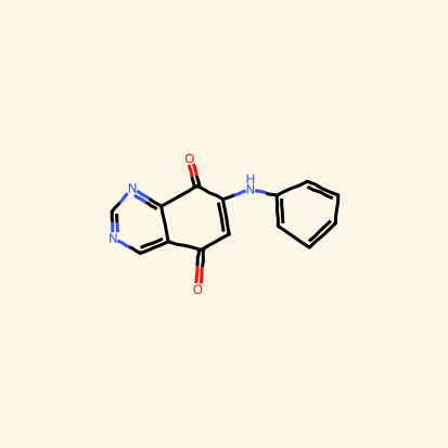 O=C1C=C(Nc2ccccc2)C(=O)c2ncncc21